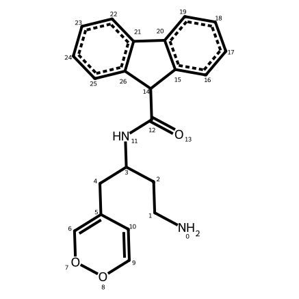 NCCC(CC1=COOC=C1)NC(=O)C1c2ccccc2-c2ccccc21